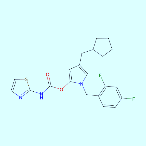 O=C(Nc1nccs1)Oc1cc(CC2CCCC2)cn1Cc1ccc(F)cc1F